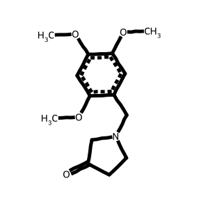 COc1cc(OC)c(OC)cc1CN1CCC(=O)C1